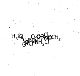 COCCCc1cc(CNC(=O)C(CN)(Cc2ccc(OCCOc3c(Cl)cc(C)cc3Cl)cc2)C2CC2)c(Cl)c[n+]1[O-]